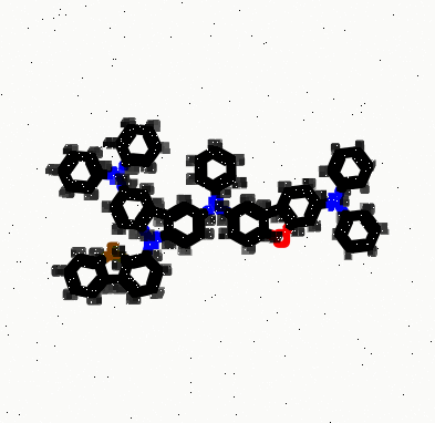 c1ccc(N(c2ccccc2)c2ccc3c(c2)oc2ccc(N(c4ccccc4)c4ccc5c(c4)c4cc(N(c6ccccc6)c6ccccc6)ccc4n5-c4cccc5c4sc4ccccc45)cc23)cc1